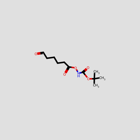 CC(C)(C)OC(=O)NOC(=O)CCCCC=O